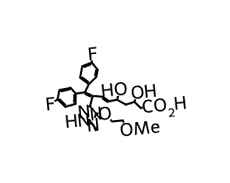 COCCON1C(C(C=CC(O)CC(O)CC(=O)O)=C(c2ccc(F)cc2)c2ccc(F)cc2)=NNN1C